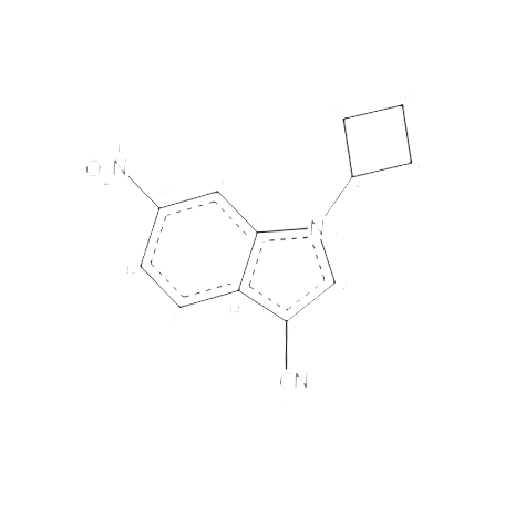 N#Cc1cn(C2CCC2)c2cc([N+](=O)[O-])ccc12